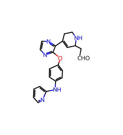 O=CCC1C=C(c2nccnc2Oc2ccc(Nc3ccccn3)cc2)CCN1